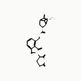 N[C@H]1C2C[C@H](C(=O)NCc3cccc4c3C(=O)N(C3CCC(=O)NC3=O)C4=O)C1[C@H](O)C2O